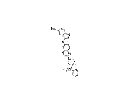 N#Cc1ccc2ncc(Sc3ccc4nc(N5CCC6(CC5)Cc5ccccc5[C@H]6N)cnc4n3)n2c1